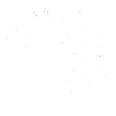 Cc1c(Cl)cccc1S(=O)(=O)Nc1ccc(F)c(-c2ccc3c(-c4ncc[nH]4)n[nH]c3c2F)c1F